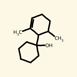 CC1=CCCC(C)C1C1(O)CCCCC1